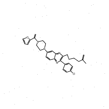 C=C(C)CCCCc1nc2cc(N3CCN(C(=C)c4ccco4)CC3)ccc2nc1-c1ccc(Cl)cc1